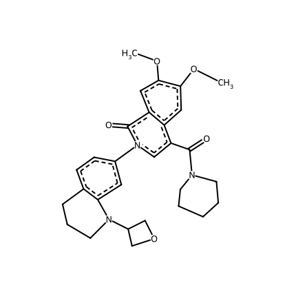 COc1cc2c(C(=O)N3CCCCC3)cn(-c3ccc4c(c3)N(C3COC3)CCC4)c(=O)c2cc1OC